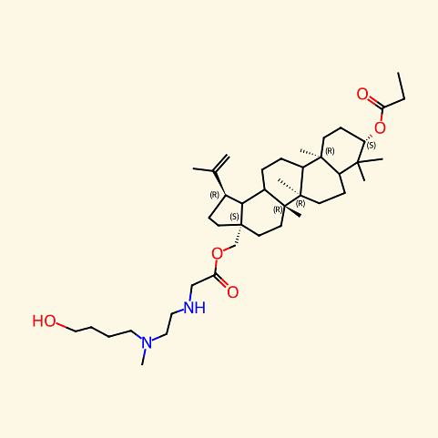 C=C(C)[C@@H]1CC[C@]2(COC(=O)CNCCN(C)CCCCO)CC[C@]3(C)C(CCC4[C@@]5(C)CC[C@H](OC(=O)CC)C(C)(C)C5CC[C@]43C)C12